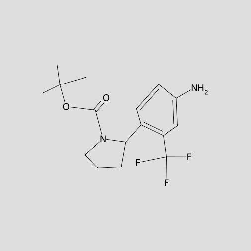 CC(C)(C)OC(=O)N1CCCC1c1ccc(N)cc1C(F)(F)F